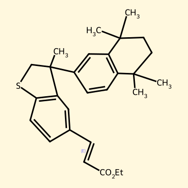 CCOC(=O)/C=C/c1ccc2c(c1)C(C)(c1ccc3c(c1)C(C)(C)CCC3(C)C)CS2